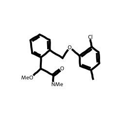 CNC(=O)C(OC)c1ccccc1COc1cc(C)ccc1Cl